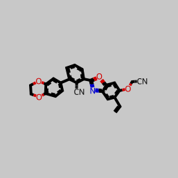 C=Cc1cc2nc(-c3cccc(-c4ccc5c(c4)OCCO5)c3C#N)oc2cc1OCC#N